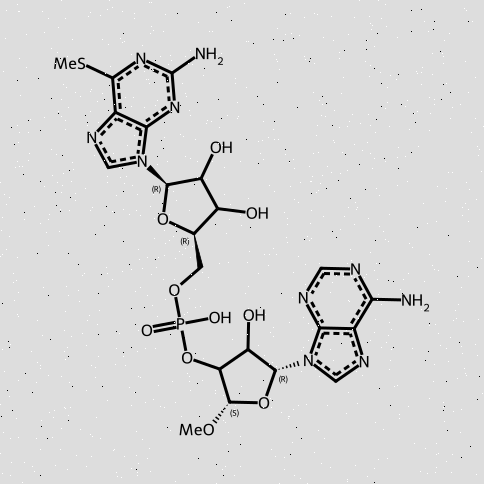 CO[C@H]1O[C@@H](n2cnc3c(N)ncnc32)C(O)C1OP(=O)(O)OC[C@H]1O[C@@H](n2cnc3c(SC)nc(N)nc32)C(O)C1O